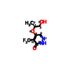 C[C@H](CO)Oc1cn[nH]c(=O)c1C(F)(F)F